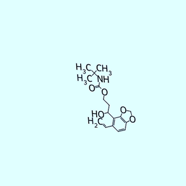 C=Cc1ccc2c(c1C(O)CCOC(=O)NC(C)(C)C)OCO2